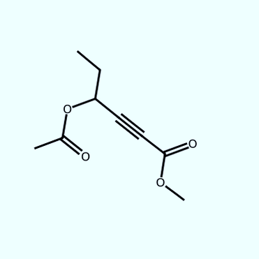 CCC(C#CC(=O)OC)OC(C)=O